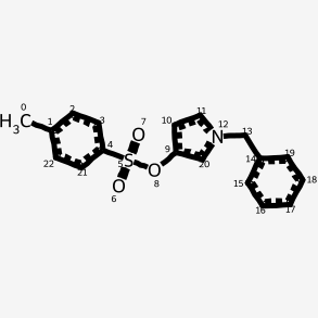 Cc1ccc(S(=O)(=O)Oc2ccn(Cc3ccccc3)c2)cc1